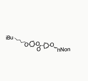 CCCCCCCCC/C=C/Oc1ccc(C(=O)Oc2ccc(OCCCCC[C@@H](C)CC)cc2)cc1